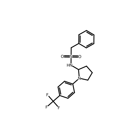 O=S(=O)(Cc1ccccc1)NC1CCCN1c1ccc(C(F)(F)F)cc1